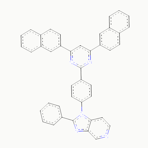 c1ccc(-c2nc3cnccc3n2-c2ccc(-c3nc(-c4ccc5ccccc5c4)cc(-c4ccc5ccccc5c4)n3)cc2)cc1